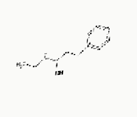 CCNC(O)CCc1ccncc1